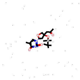 CC(=O)CC1(O[Si](C)(C)C(C)(C)C)CO[C@@H](n2cc(C)c(=O)[nH]c2=O)C1